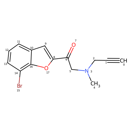 C#CCN(C)CC(=O)c1cc2cccc(Br)c2o1